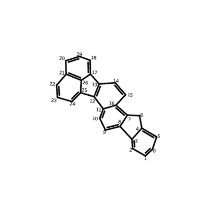 c1ccc2c(c1)Cc1c-2ccc2c3c(ccc12)-c1cccc2cccc-3c12